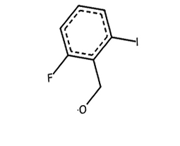 [O]Cc1c(F)cccc1I